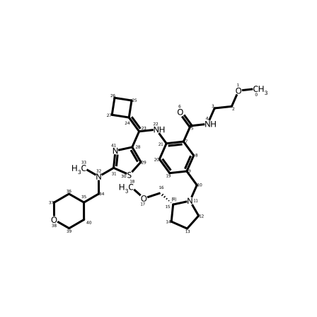 COCCNC(=O)c1cc(CN2CCC[C@@H]2COC)ccc1NC(=C1CCC1)c1csc(N(C)CC2CCOCC2)n1